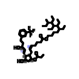 CCC(=O)O[C@H]1C[C@@H](O)[C@H](/C=C/[C@@H](O)CCc2cccc(C(F)(F)F)c2)[C@H]1C/C=C\CCCC(=O)OCCCCC(CC)C(CC)C(CC)C(CC)C(C)CC